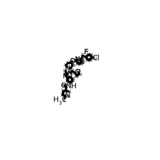 Cc1ccc(C(=O)Nc2ccc3c(c2)nc(CN2CCC(Oc4ccnc(Cc5ccc(Cl)cc5F)n4)CC2)n3CC2CCO2)cn1